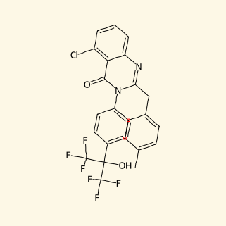 Cc1ccc(Cc2nc3cccc(Cl)c3c(=O)n2-c2ccc(C(O)(C(F)(F)F)C(F)(F)F)cc2)cc1